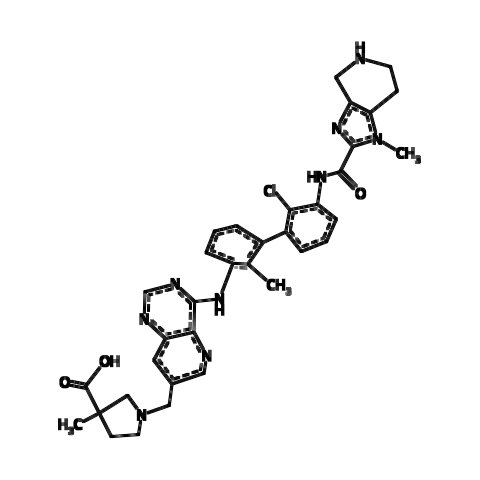 Cc1c(Nc2ncnc3cc(CN4CCC(C)(C(=O)O)C4)cnc23)cccc1-c1cccc(NC(=O)c2nc3c(n2C)CCNC3)c1Cl